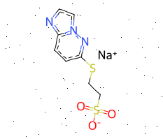 O=S(=O)([O-])CCSc1ccc2nccn2n1.[Na+]